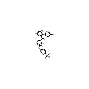 Cc1cnc(-c2ncc(F)cn2)c(C(=O)N2CC3CC[C@H]2[C@H](Oc2ccc(C(F)(F)F)cn2)C3)c1